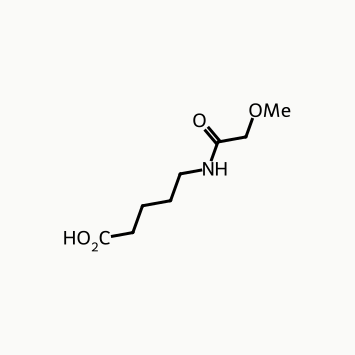 COCC(=O)NCCCCC(=O)O